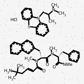 CC(CN1c2ccccc2Sc2ccccc21)N(C)C.CNC(=O)[C@@H](Cc1ccccc1)N(C)C(=O)[C@@H](Cc1ccc2ccccc2c1)N(C)C(=O)/C=C/CC(C)(C)N.Cl